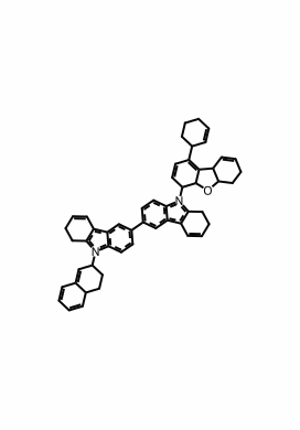 C1=CC2=CC(n3c4c(c5cc(-c6ccc7c(c6)c6c(n7C7C=CC(C8C=CCCC8)=C8C9C=CCCC9OC87)CCC=C6)ccc53)C=CCC4)CCC2C=C1